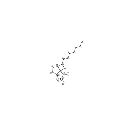 CCCCCC=CC1CC2(C(=O)OC)C(=O)CCC12